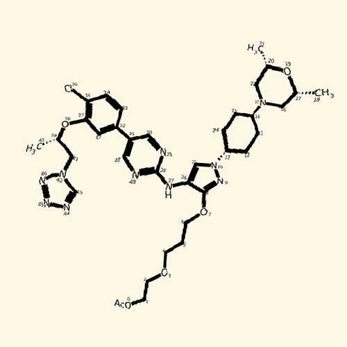 CC(=O)OCCOCCCOc1nn([C@H]2CC[C@H](N3C[C@@H](C)O[C@@H](C)C3)CC2)cc1Nc1ncc(-c2ccc(Cl)c(O[C@@H](C)Cn3cnnn3)c2)cn1